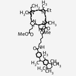 C=Cc1c(C)c2cc3nc(c(CC(=O)OC)c4[nH]c(cc5nc(cc1[nH]2)C(C)=C5CC)c(C)c4C(=O)NCCCCCCNC(=O)c1ccc(C(=C)c2cc4c(cc2C)C(C)(C)CCC4(C)C)cc1)[C@@H](CCC(=O)OC)C3